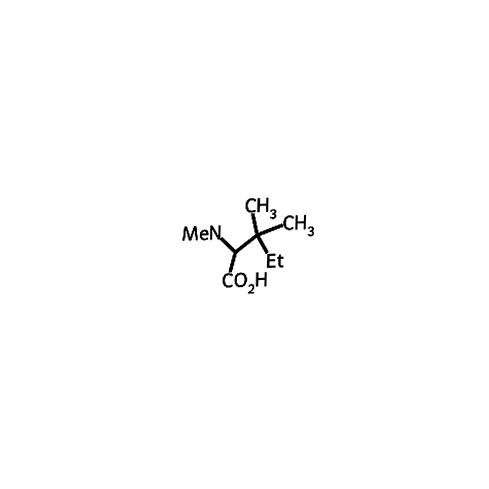 CCC(C)(C)C(NC)C(=O)O